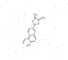 C=C1OB(c2ccc3c(C=O)c(O)ccc3c2)OC1=C